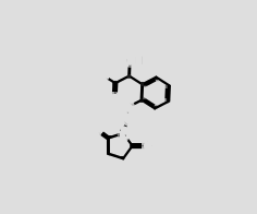 CC(C(=O)O)c1ccccc1O.O=C1CCC(=O)N1O